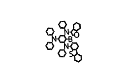 c1ccc(N(c2ccccc2)c2cc3c4c(c2)N(c2ccccc2)c2c(ccc5c2sc2ccccc25)B4c2oc4ccccc4c2N3c2ccccc2)cc1